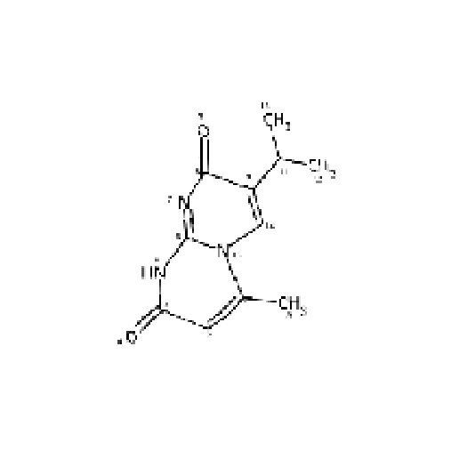 Cc1cc(=O)[nH]c2nc(=O)c(C(C)C)cn12